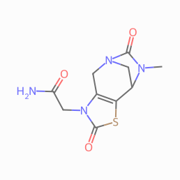 CN1C(=O)N2Cc3c(sc(=O)n3CC(N)=O)C1C2